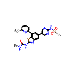 CCNC(=O)Nc1nc2cc(-c3cnc(NS(=O)(=O)C(C)(C)C)nc3)cc(-c3cccc(C)n3)c2s1